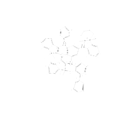 CC1(C)C2=C(c3ccccc31)N(c1ccccc1)c1cc(N3c4ccccc4C4(C)CCCCC34C)cc3c1B2C1=C(N3c2cccc(-c3ccccc3)c2)C(C)(C)c2ccccc21